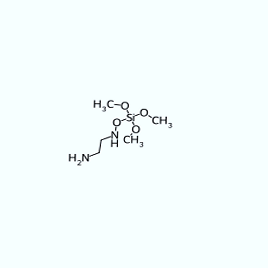 CO[Si](OC)(OC)ONCCN